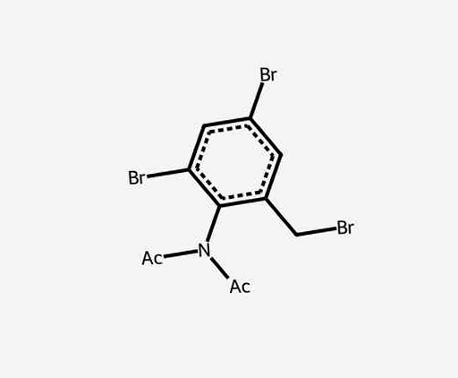 CC(=O)N(C(C)=O)c1c(Br)cc(Br)cc1CBr